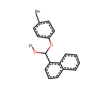 CCOC(Oc1ccc(C(C)CC)cc1)c1cccc2ccccc12